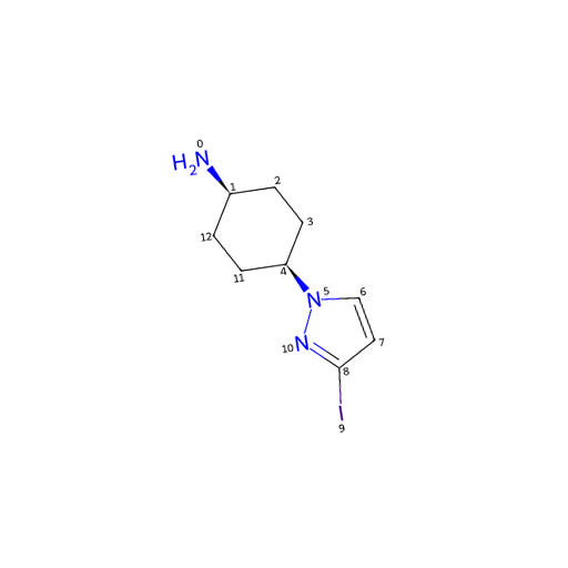 N[C@H]1CC[C@@H](n2ccc(I)n2)CC1